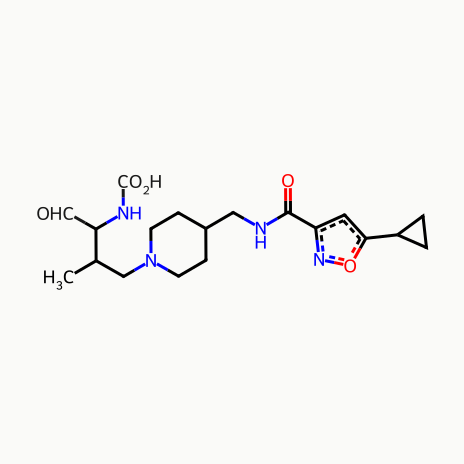 CC(CN1CCC(CNC(=O)c2cc(C3CC3)on2)CC1)C(C=O)NC(=O)O